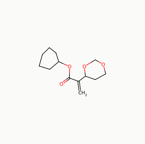 C=C(C(=O)OC1CCCCC1)C1CCOCO1